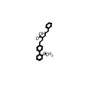 COc1ccccc1-c1ccc(CCC(CCCc2ccccc2)C(=O)O)cc1